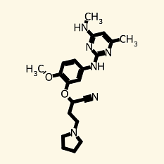 CNc1cc(C)nc(Nc2ccc(OC)c(OC(C#N)CCN3CCCC3)c2)n1